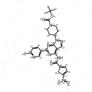 CC(C)(C)OC(=O)N1CCC(n2ncc3c(NC(=O)c4ccc([N+](=O)[O-])s4)nc(-c4ccc(F)nc4)nc32)CC1